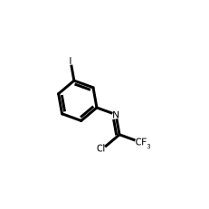 FC(F)(F)C(Cl)=Nc1cccc(I)c1